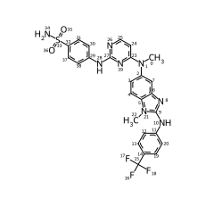 CN(c1ccc2c(c1)nc(Nc1ccc(C(F)(F)F)cc1)n2C)c1ccnc(Nc2ccc(S(N)(=O)=O)cc2)n1